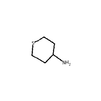 NC1CCSCC1